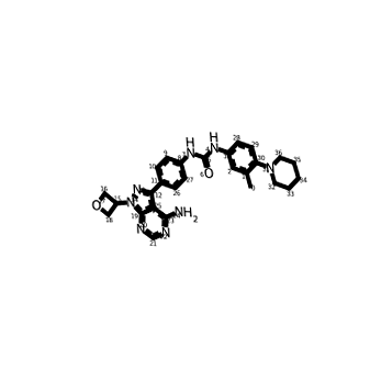 Cc1cc(NC(=O)Nc2ccc(-c3nn(C4COC4)c4ncnc(N)c34)cc2)ccc1N1CCCCC1